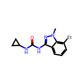 CCc1cccc2c(NC(=O)NC3CC3)nn(C)c12